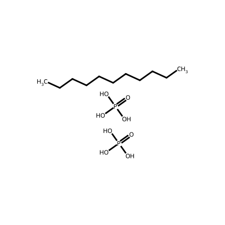 CCCCCCCCCCC.O=P(O)(O)O.O=P(O)(O)O